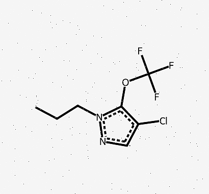 CCCn1n[c]c(Cl)c1OC(F)(F)F